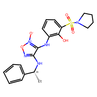 CC[C@@H](Nc1no[n+]([O-])c1Nc1cccc(S(=O)(=O)N2CCCC2)c1O)c1ccccc1